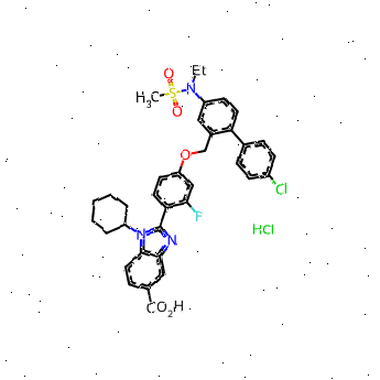 CCN(c1ccc(-c2ccc(Cl)cc2)c(COc2ccc(-c3nc4cc(C(=O)O)ccc4n3C3CCCCC3)c(F)c2)c1)S(C)(=O)=O.Cl